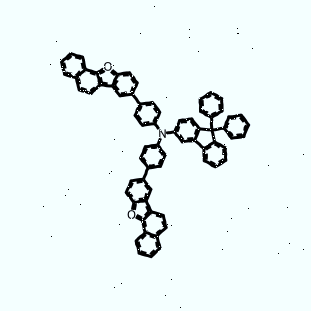 c1ccc(C2(c3ccccc3)c3ccccc3-c3cc(N(c4ccc(-c5ccc6oc7c8ccccc8ccc7c6c5)cc4)c4ccc(-c5ccc6oc7c8ccccc8ccc7c6c5)cc4)ccc32)cc1